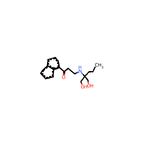 CCCC(CO)(CO)NCCC(=O)c1cccc2ccccc12